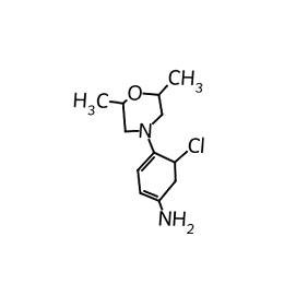 CC1CN(C2=CC=C(N)CC2Cl)CC(C)O1